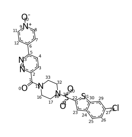 O=C(c1ccc(-c2cc[n+]([O-])cc2)nn1)N1CCN(S(=O)(=O)c2cc3ccc(Cl)cc3s2)CC1